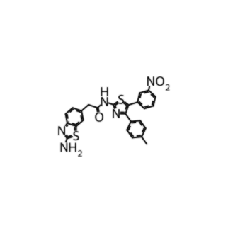 Cc1ccc(-c2nc(NC(=O)Cc3ccc4nc(N)sc4c3)sc2-c2cccc([N+](=O)[O-])c2)cc1